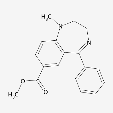 COC(=O)c1ccc2c(c1)C(c1ccccc1)=NCCN2C